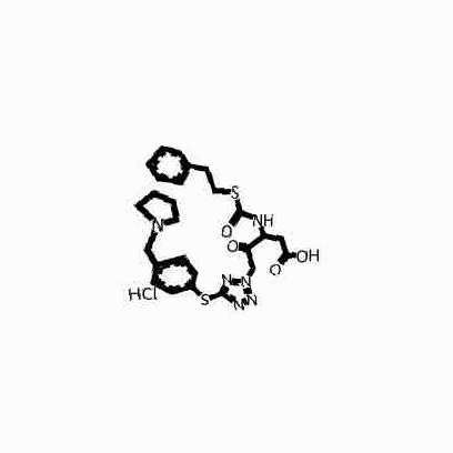 Cl.O=C(O)CC(NC(=O)SCCc1ccccc1)C(=O)Cn1nnc(Sc2ccc(CN3CCCC3)cc2)n1